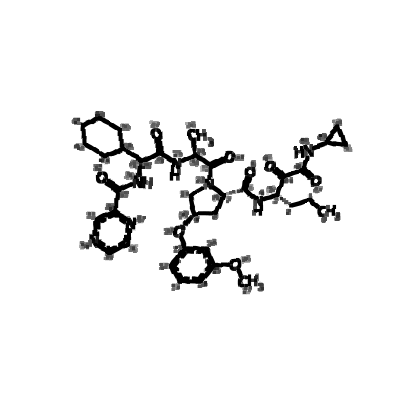 CCC[C@H](NC(=O)[C@@H]1C[C@@H](Oc2cccc(OC)c2)CN1C(=O)[C@H](C)NC(=O)[C@@H](NC(=O)c1cnccn1)C1CCCCC1)C(=O)C(=O)NC1CC1